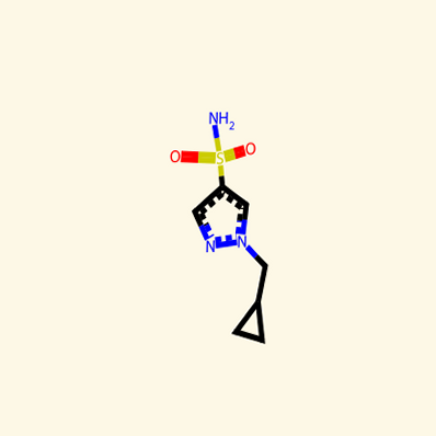 NS(=O)(=O)c1cnn(CC2CC2)c1